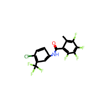 Cc1c(F)c(F)c(F)c(F)c1C(=O)Nc1ccc(Cl)c(C(F)(F)F)c1